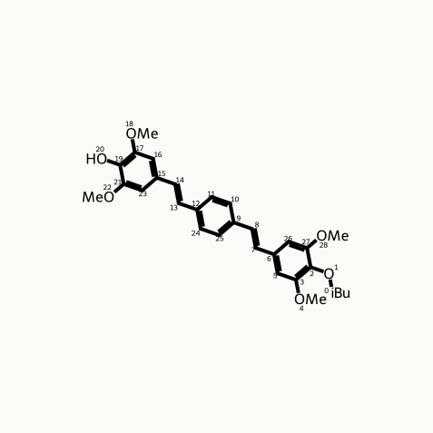 CCC(C)Oc1c(OC)cc(/C=C/c2ccc(/C=C/c3cc(OC)c(O)c(OC)c3)cc2)cc1OC